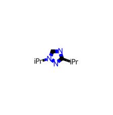 CC(C)c1ncn(C(C)C)n1